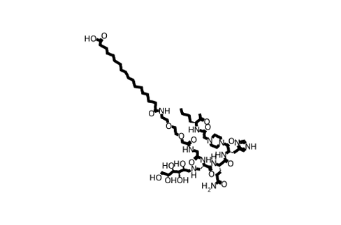 CCCC[C@H](NC(=O)CN1CCN(C(=O)[C@H](Cc2c[nH]cn2)NC(=O)[C@H](CCC(N)=O)NC(=O)[C@H](CNC[C@H](O)[C@@H](O)[C@H](O)[C@H](O)CO)NC(=O)CNC(=O)COCCOCCNC(=O)CCCCCCCCCCCCCCCCC(=O)O)CC1)C(C)=O